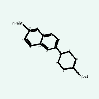 CCCCCCCCC1CCC(c2ccc3cc(CCCCC)ccc3c2)CC1